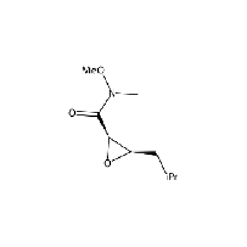 CON(C)C(=O)[C@@H]1O[C@@H]1CC(C)C